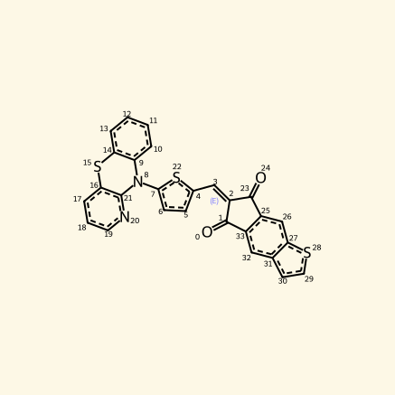 O=C1/C(=C\c2ccc(N3c4ccccc4Sc4cccnc43)s2)C(=O)c2cc3sccc3cc21